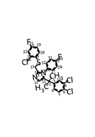 CC(C)(c1ccc(Cl)c(Cl)c1)c1cnc(CSc2ccc(F)cc2Cl)n1-c1ccc(F)cc1